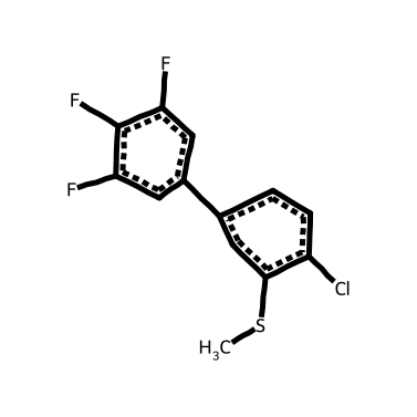 CSc1cc(-c2cc(F)c(F)c(F)c2)ccc1Cl